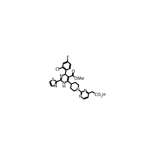 COC(=O)C1=C(C2CCN(c3nccc(CC(=O)O)n3)CC2)NC(c2nccs2)=NC1c1ccc(F)cc1Cl